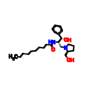 CCCCCCCCCC(=O)N[C@@H](CN1CCC[C@H]1CO)[C@@H](O)c1ccccc1